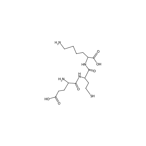 NCCCCC(NC(=O)C(CCS)NC(=O)C(N)CCC(=O)O)C(=O)O